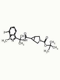 Cn1nc(C(C)(C)NC(=O)C2C3CN(C(=O)OC(C)(C)C)CC32)c2cccc(F)c21